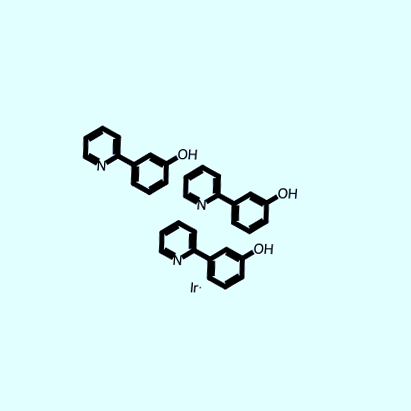 Oc1cccc(-c2ccccn2)c1.Oc1cccc(-c2ccccn2)c1.Oc1cccc(-c2ccccn2)c1.[Ir]